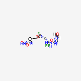 O=C1CCN(c2cncc3c(C#CCO[C@@H]4CCN(C[C@H]5C[C@H](n6cc(NC(=O)c7cnn8ccc(N9C[C@H]%10C[C@@H]9CO%10)nc78)c(C(F)F)n6)C5)C[C@@H]4F)cccc23)C(=O)N1